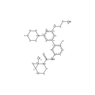 Cc1ccc(NC(=O)N2CCOC3CC32C(F)(F)F)cc1-c1cc(OCCO)nc(N2CCOCC2)c1